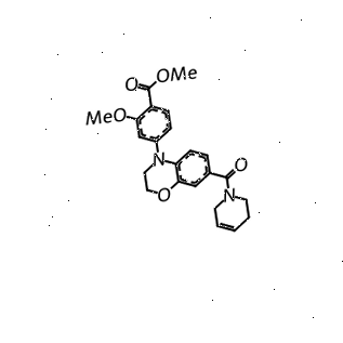 COC(=O)c1ccc(N2CCOc3cc(C(=O)N4CC=CCC4)ccc32)cc1OC